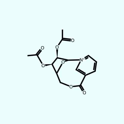 CC(=O)O[C@@H]1C2COC(=O)c3ccc[n+](c3)C(O2)[C@@H]1OC(C)=O